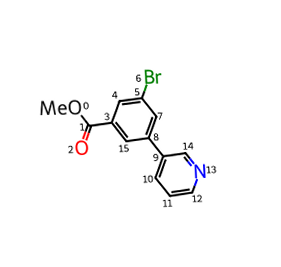 COC(=O)c1cc(Br)cc(-c2cccnc2)c1